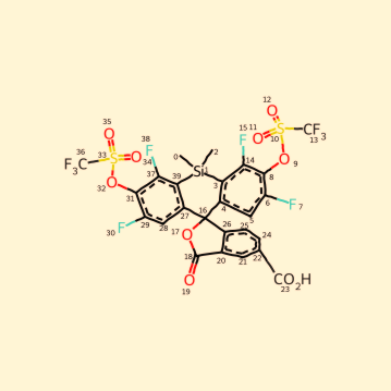 C[Si]1(C)c2c(cc(F)c(OS(=O)(=O)C(F)(F)F)c2F)C2(OC(=O)c3cc(C(=O)O)ccc32)c2cc(F)c(OS(=O)(=O)C(F)(F)F)c(F)c21